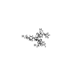 COc1ccc(-c2cc(NC(=O)C(C)CCN3CCCC3)n(C(=O)OC(C)(C)C)n2)cn1